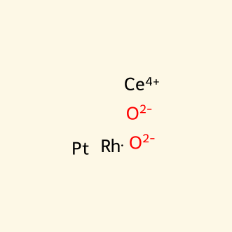 [Ce+4].[O-2].[O-2].[Pt].[Rh]